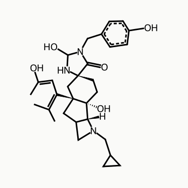 CC(C)=C(/C=C(\C)O)[C@]12CC3CN(CC4CC4)[C@H]3[C@]1(O)CC[C@@]1(C2)NC(O)N(Cc2ccc(O)cc2)C1=O